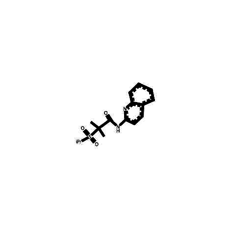 CC(C)S(=O)(=O)C(C)(C)C(=O)Nc1ccc2ccccc2n1